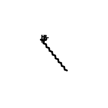 CCCCCCCCCCCCCCCC[NH+](C)[O-]